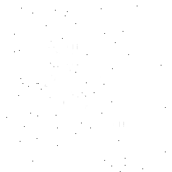 CCCCNc1cccc(NS(C)(=O)=O)c1OC